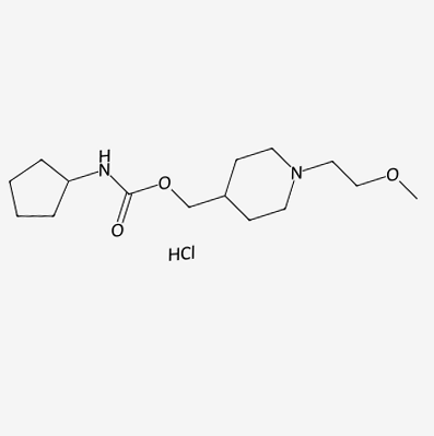 COCCN1CCC(COC(=O)NC2CCCC2)CC1.Cl